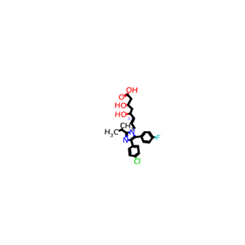 CC(C)c1nc(-c2ccc(Cl)cc2)c(-c2ccc(F)cc2)n1C/C=C/C(O)CC(O)CC(=O)O